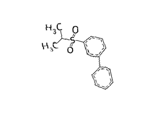 CC(C)S(=O)(=O)c1cccc(-c2ccccc2)c1